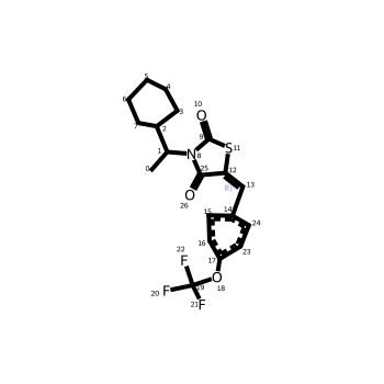 CC(C1CCCCC1)N1C(=O)S/C(=C/c2ccc(OC(F)(F)F)cc2)C1=O